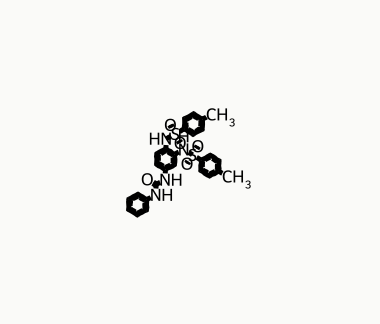 Cc1ccc(S(=O)(=O)Nc2ccc(NC(=O)Nc3ccccc3)cc2NS(=O)(=O)c2ccc(C)cc2)cc1